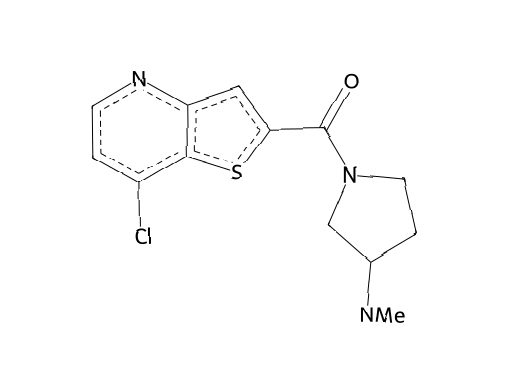 CNC1CCN(C(=O)c2cc3nccc(Cl)c3s2)C1